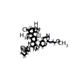 COC/C=C/C(=O)N1CC[C@H](n2cnc3c(N4CC5(CCCN5C)C4)nc4c(F)c(-c5c(C)c(Cl)cc6[nH]ncc56)c(Cl)cc4c32)C[C@H]1CC#N